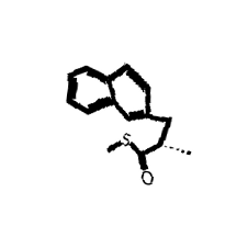 CSC(=O)[C@@H](C)Cc1ccc2ccccc2c1